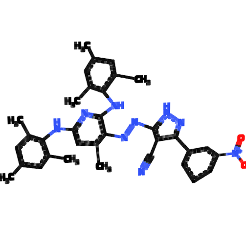 Cc1cc(C)c(Nc2cc(C)c(/N=N/c3[nH]nc(-c4cccc([N+](=O)[O-])c4)c3C#N)c(Nc3c(C)cc(C)cc3C)n2)c(C)c1